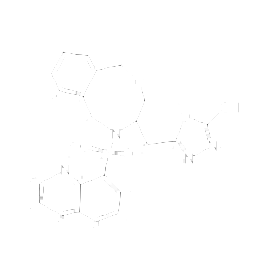 Cc1nnc(CC2COCc3ccccc3CN2S(=O)(=O)c2cccc3cccnc23)o1